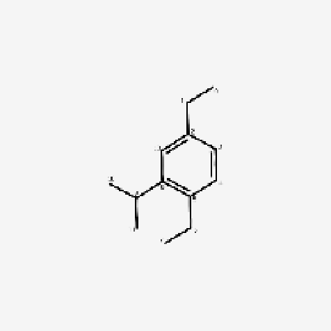 CCc1ccc(CC)c(C(C)C)c1